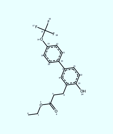 CCOC(=O)CCc1cc(-c2ccc(OC(F)(F)F)cc2)ccc1O